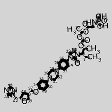 CC[C@@H]([C@H](C)OC(=O)OC(C)OC(=O)CNP(=O)(O)O)n1ncn(-c2ccc(N3CCN(c4ccc(OC[C@@H]5CO[C@H](Cn6cncn6)C5)cc4)CC3)cc2)c1=O